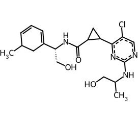 CC1C=CC=C([C@@H](CO)NC(=O)C2CC2c2nc(NC(C)CO)ncc2Cl)C1